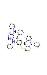 c1ccc(N2c3ccccc3B3c4cc5c(cc4Sc4cccc2c43)N(c2ccccc2)c2ncnc3c2B5c2ccccc2N3c2ccccc2)cc1